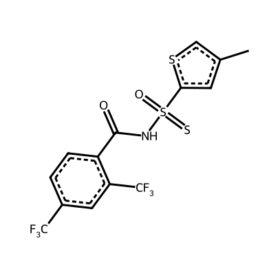 Cc1csc(S(=O)(=S)NC(=O)c2ccc(C(F)(F)F)cc2C(F)(F)F)c1